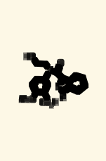 COc1ccc(N(CCO)C(=O)c2n[nH]c3ccccc23)cc1C(=O)O